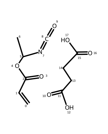 C=CC(=O)OC(C)N=C=O.O=C(O)CCC(=O)O